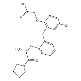 C[C@H](Oc1ccccc1Cc1cc(Cl)ccc1OCC(=O)O)C(=O)N1CCCC1